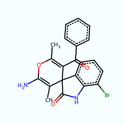 CC1=C(C(=O)c2ccccc2)C2(C(=O)Nc3c(Br)cccc32)C(C#N)=C(N)O1